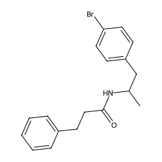 CC(Cc1ccc(Br)cc1)NC(=O)CCc1ccccc1